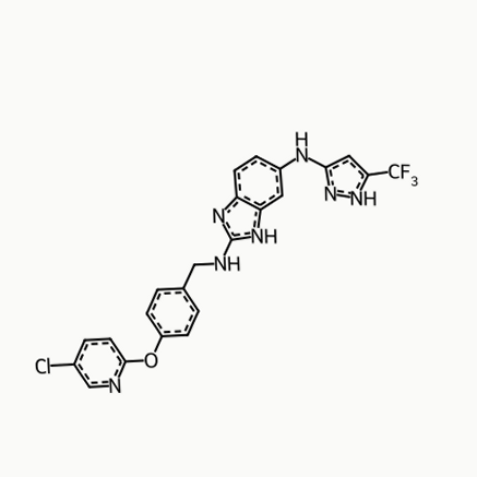 FC(F)(F)c1cc(Nc2ccc3nc(NCc4ccc(Oc5ccc(Cl)cn5)cc4)[nH]c3c2)n[nH]1